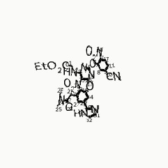 CCOC(=O)CNc1nc(Oc2cc(C#N)ccc2[N+](=O)[O-])nc(Oc2cc(CC(=O)N(C)C)cc(-c3ncc[nH]3)c2)c1[N+](=O)[O-]